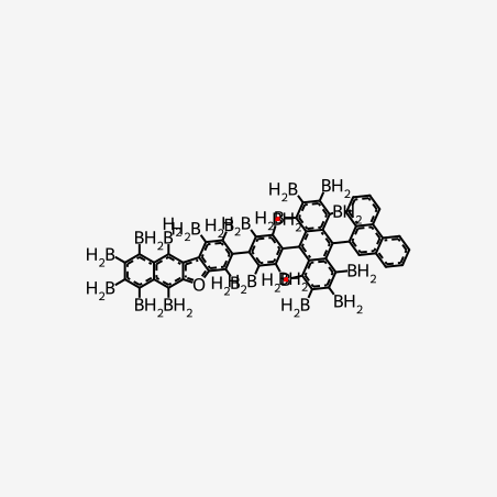 Bc1c(B)c(-c2c3c(B)c(B)c(B)c(B)c3c(-c3cc4ccccc4c4ccccc34)c3c(B)c(B)c(B)c(B)c23)c(B)c(B)c1-c1c(B)c(B)c2c(oc3c(B)c4c(B)c(B)c(B)c(B)c4c(B)c32)c1B